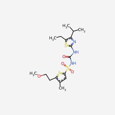 CCc1sc(NC(=O)NS(=O)(=O)c2cc(C)c(CCOC)s2)nc1C(C)C